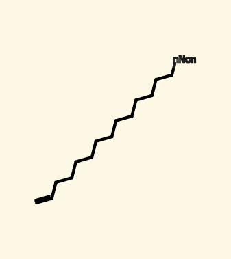 C=CCCCCCCCCCCCCCCCCCCC[CH]C